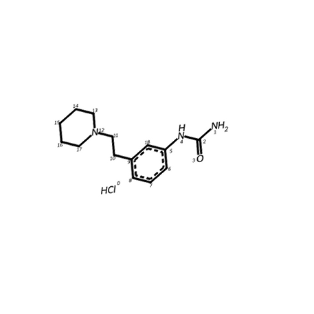 Cl.NC(=O)Nc1cccc(CCN2CCCCC2)c1